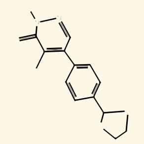 CC(C)(C)n1ncc(-c2ccc(C3OCCO3)cc2)c(Cl)c1=O